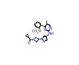 Cc1cnc(Nc2cnn(C3CN(C(=O)C4CC4)C3)c2)nc1-c1ccccc1C(=O)O